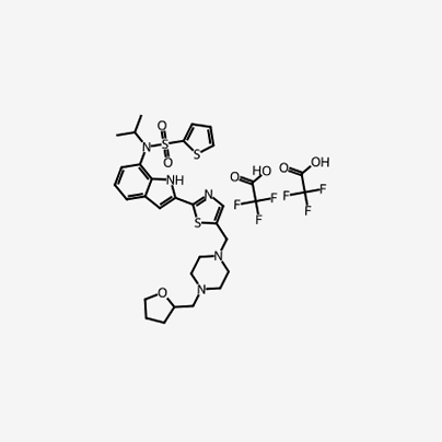 CC(C)N(c1cccc2cc(-c3ncc(CN4CCN(CC5CCCO5)CC4)s3)[nH]c12)S(=O)(=O)c1cccs1.O=C(O)C(F)(F)F.O=C(O)C(F)(F)F